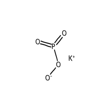 O=P(=O)O[O-].[K+]